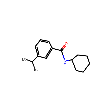 CCC(CC)c1cccc(C(=O)NC2CCCCC2)c1